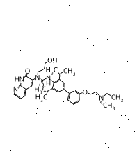 CCN(CC)CCOc1cccc(-c2cc(C(C)C)c(NC(=O)N(CCCO)c3cc4cccnc4[nH]c3=O)c(C(C)C)c2)c1